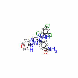 C=N/C(=N\c1c(C)nc(Nc2c(Cl)cc(Cl)cc2Cl)n1[C@H]1CC[C@@H](C(N)=O)CC1)NC1CCCOCC1